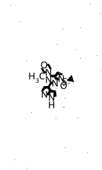 CC1COCCN1c1nc(-c2ccnc3[nH]ccc23)nc2c1ccn2[S+]([O-])C1CC1